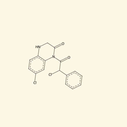 O=C1CNc2ccc(Cl)cc2N1C(=O)C(Cl)c1ccccc1